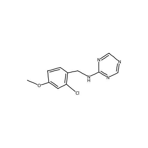 COc1ccc(CNc2ncncn2)c(Cl)c1